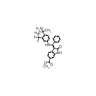 COC(=O)c1ccc2c(c1)NC(=O)C2=C(Nc1ccc(C(C)(C)N)c(C(F)(F)F)c1)c1ccccc1